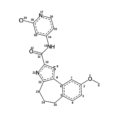 COc1ccc2c(c1)-c1sc(C(=O)Nc3ccnc(Cl)c3)nc1CCC2